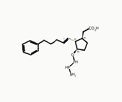 BPPO[C@@H]1CC[C@H](CC(=O)O)[C@H]1/C=C/CCCc1ccccc1